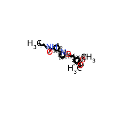 CCCCNC(=O)c1cccc(-c2cccc(OCCc3ccc(OC)c(OC)c3)n2)c1